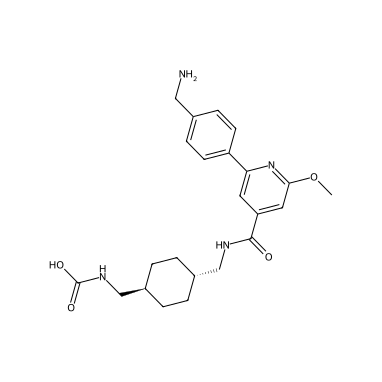 COc1cc(C(=O)NC[C@H]2CC[C@H](CNC(=O)O)CC2)cc(-c2ccc(CN)cc2)n1